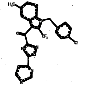 Cc1ccc2c(c1)c(C(=O)c1noc(-c3ccncn3)n1)c(C(F)(F)F)n2Cc1ccc(Cl)cc1